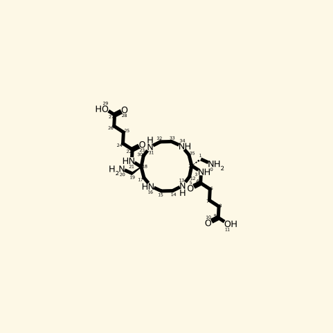 NC[C@]1(NC(=O)CCCC(=O)O)CNCCNC[C@](CN)(NC(=O)CCCC(=O)O)CNCCNC1